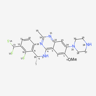 COc1cc2c(N[C@H](C)c3cccc(C(F)F)c3F)nc(C)nc2cc1N1CCNCC1